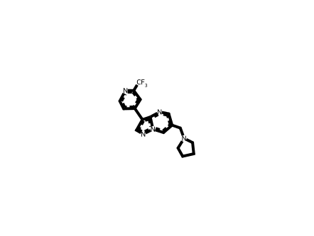 FC(F)(F)c1cc(-c2cnn3cc(CN4CCCC4)cnc23)ccn1